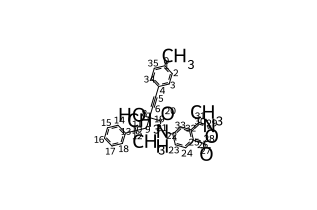 Cc1ccc(C#CC(O)(CC(C)(C)c2ccccc2)C(=O)Nc2ccc3c(=O)onc(C)c3c2)cc1